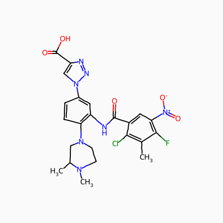 Cc1c(F)c([N+](=O)[O-])cc(C(=O)Nc2cc(-n3cc(C(=O)O)nn3)ccc2N2CCN(C)C(C)C2)c1Cl